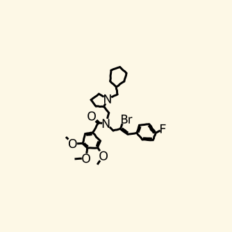 COc1cc(C(=O)N(C/C(Br)=C/c2ccc(F)cc2)CC2CCCN2CC2CCCCC2)cc(OC)c1OC